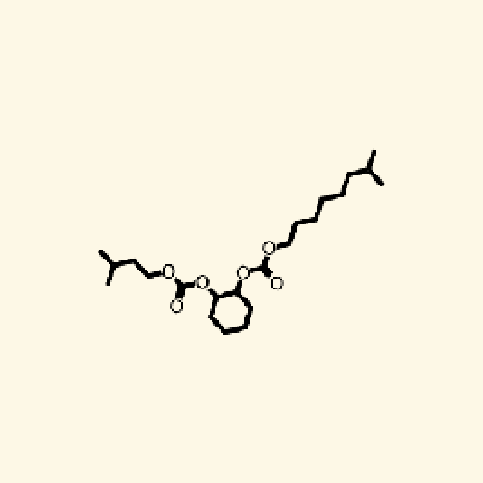 CC(C)CCCCCCOC(=O)OC1CCCCC1OC(=O)OCCC(C)C